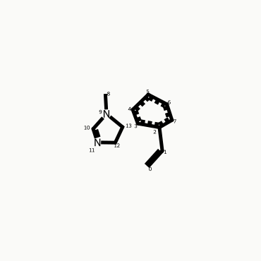 C=Cc1ccccc1.CN1C=NCC1